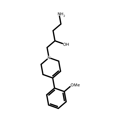 COc1ccccc1C1=CCN(CC(O)CCN)CC1